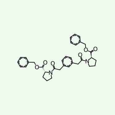 O=C(OCc1ccccc1)[C@H]1CCCN1C(=O)Cc1cccc(CC(=O)N2CCC[C@@H]2C(=O)OCc2ccccc2)c1